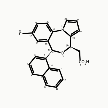 O=C(O)C[C@H]1O[C@H](c2cccc3ccccc23)c2cc(Cl)ccc2-n2cccc21